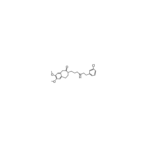 COc1cc2c(cc1OC)CC(=O)C(CCCNCCc1cccc(Cl)c1)CC2